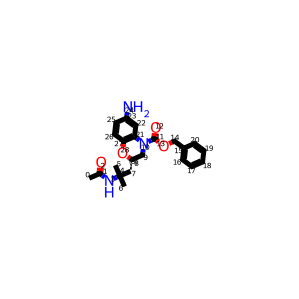 CC(=O)NC(C)(C)C[C@H]1CN(C(=O)OCc2ccccc2)c2cc(N)ccc2O1